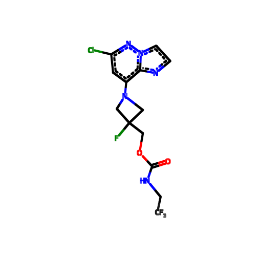 O=C(NCC(F)(F)F)OCC1(F)CN(c2cc(Cl)nn3ccnc23)C1